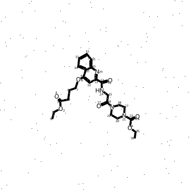 CCOC(=O)CCCOc1cc(C(=O)NCC(=O)N2CCN(C(=O)OCC)CC2)nc2ccccc12